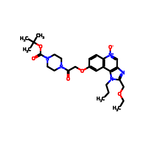 CCCn1c(COCC)nc2c[n+]([O-])c3ccc(OCC(=O)N4CCN(C(=O)OC(C)(C)C)CC4)cc3c21